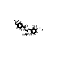 CNCc1ccc(C(=O)N[C@@H](Cc2cccc(C(=O)O)c2O)B(O)O)cc1